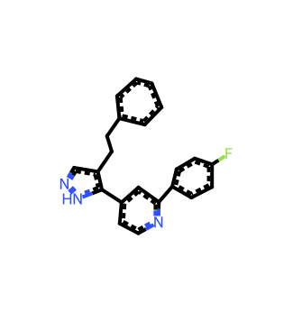 Fc1ccc(-c2cc(-c3[nH]ncc3CCc3ccccc3)ccn2)cc1